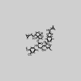 COc1ccc(C[C@H](NC(=O)O[C@H]2CO[C@H]3OC[C@H](NCC4CC4)[C@H]32)[C@H](O)CN(CC(C)C)S(=O)(=O)c2ccc3nc(NC4CC4)oc3c2)cc1Cl